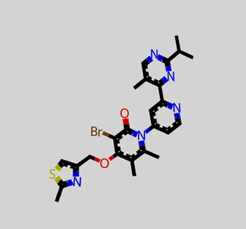 Cc1nc(COc2c(C)c(C)n(-c3ccnc(-c4nc(C(C)C)ncc4C)c3)c(=O)c2Br)cs1